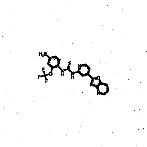 Bc1ccc(NC(=S)Nc2cc(-c3nc4ncccc4o3)ccn2)c(OC(F)(F)F)c1